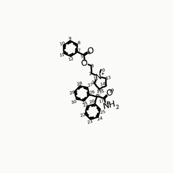 C[N+]1(CCOC(=O)c2ccccc2)CC[C@H](C(C(N)=O)(c2ccccc2)c2ccccc2)C1